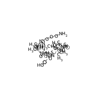 CCCC(=O)OCN(C(=O)[C@H](NC(=O)[C@@H]1CCCCN1C)C(C)CC)[C@@H](CCc1nc(C(=O)N[C@H](Cc2ccc(O)cc2)C[C@@H](C)C(=O)NCCC[Si](C)(C)O[Si](C)(C)CSc2ncc(COCCOCCOCCN)cn2)cs1)C(C)C